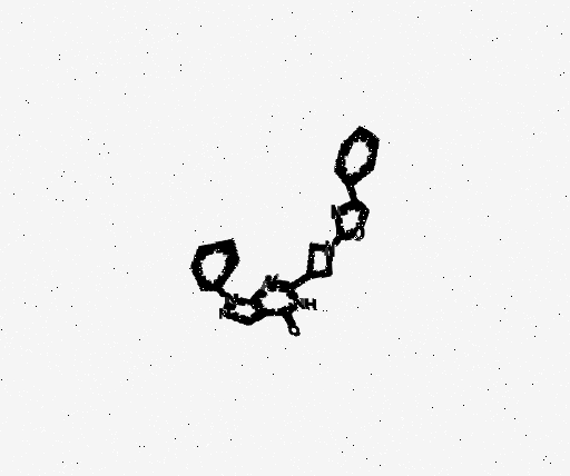 O=c1[nH]c(C2CN(c3nc(-c4ccccc4)co3)C2)nc2c1cnn2-c1ccccc1